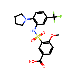 COc1ccc(C(=O)O)cc1S(=O)(=O)Nc1cc(C(F)(F)F)ccc1N1CCCC1